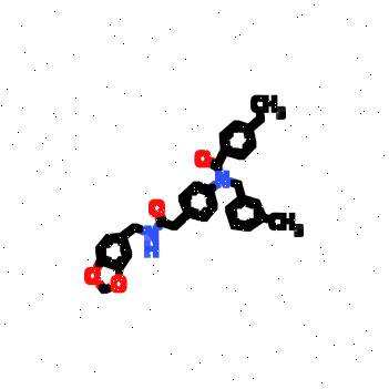 CCc1ccc(C(=O)N(Cc2cccc(C)c2)c2ccc(CC(=O)NCc3ccc4c(c3)OCO4)cc2)cc1